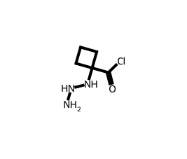 NNNC1(C(=O)Cl)CCC1